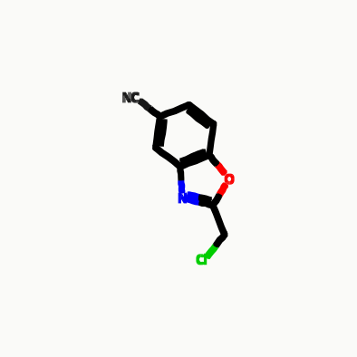 N#Cc1ccc2oc(CCl)nc2c1